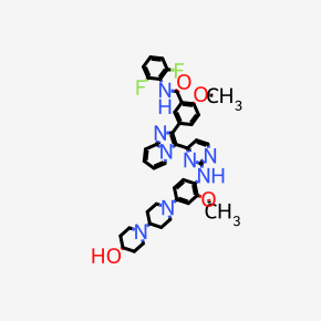 COc1cc(N2CCC(N3CCC(O)CC3)CC2)ccc1Nc1nccc(-c2c(-c3ccc(OC)c(C(=O)Nc4c(F)cccc4F)c3)nc3ccccn23)n1